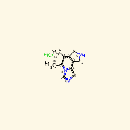 Cc1c2c(c3cncn3c1C)CNC2.Cl